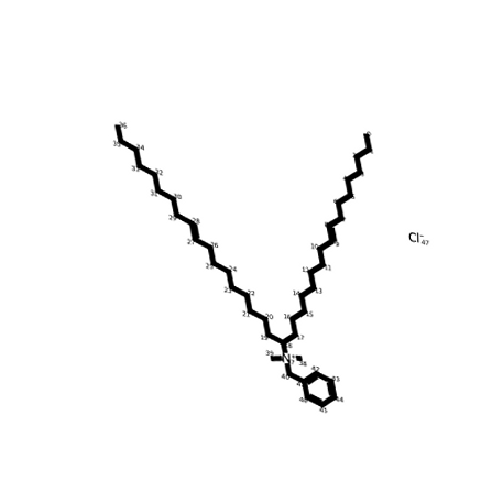 CCCCCCCCC=CCCCCCCCCC(CCCCCCCCC=CCCCCCCCC)[N+](C)(C)Cc1ccccc1.[Cl-]